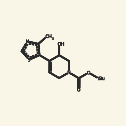 Cc1ncsc1C1=CCN(C(=O)OC(C)(C)C)CC1O